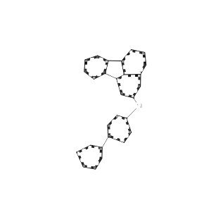 c1ccc(-c2ccc(Nc3cc4c5c(cccc5c3)-c3ccccc3-4)cc2)cc1